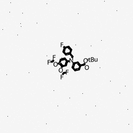 CC(C)(C)OC(=O)c1cccc(N(Cc2ccc(F)cc2)c2ccc(OC(F)F)c(OC(F)F)c2)c1